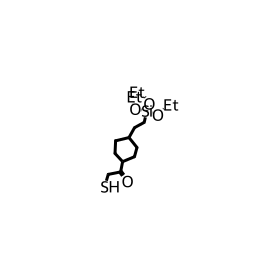 CCO[Si](CCC1CCC(C(=O)CS)CC1)(OCC)OCC